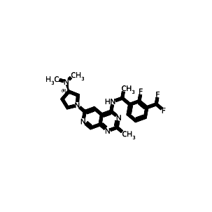 Cc1nc(NC(C)c2cccc(C(F)F)c2F)c2cc(N3CC[C@@H](N(C)C)C3)ncc2n1